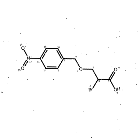 O=C(O)C(Br)COCc1ccc([N+](=O)[O-])cc1